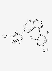 NC(N)=NC(=O)c1ccc2cccc(-c3c(F)cc(O)cc3F)c2c1